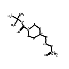 CC(C)(C)OC(=O)N1CCC(COC[SH](=O)=O)CC1